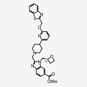 COC(=O)c1ccc2nc(CN3CCC(c4cccc(OCc5nc6ccccc6s5)n4)CC3)n(C[C@@H]3CCO3)c2c1